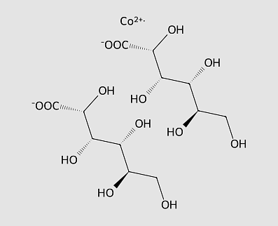 O=C([O-])[C@H](O)[C@@H](O)[C@H](O)[C@H](O)CO.O=C([O-])[C@H](O)[C@@H](O)[C@H](O)[C@H](O)CO.[Co+2]